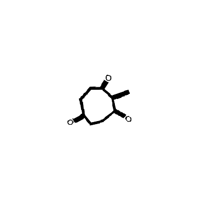 C=C1C(=O)CCC(=O)CCC1=O